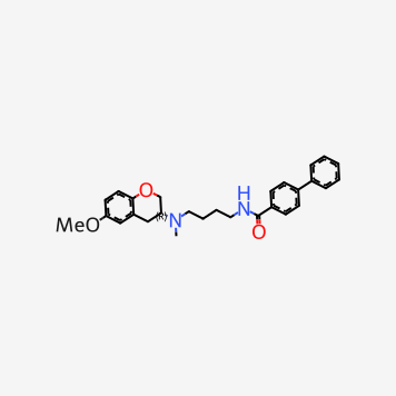 COc1ccc2c(c1)C[C@@H](N(C)CCCCNC(=O)c1ccc(-c3ccccc3)cc1)CO2